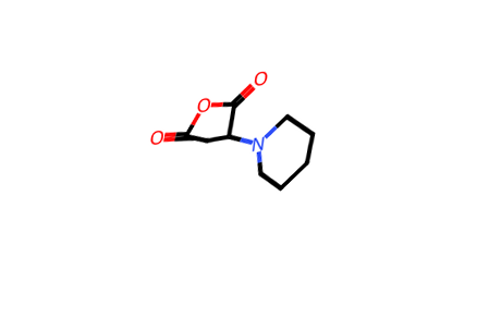 O=C1CC(N2CCCCC2)C(=O)O1